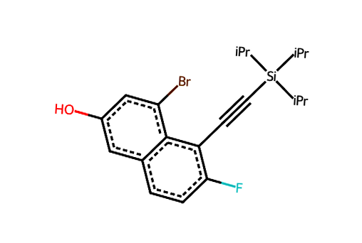 CC(C)[Si](C#Cc1c(F)ccc2cc(O)cc(Br)c12)(C(C)C)C(C)C